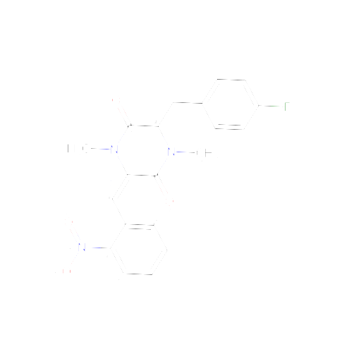 CN1C(=O)C(Cc2ccc(F)cc2)N(C)C(=O)/C1=C\c1ccccc1[N+](=O)[O-]